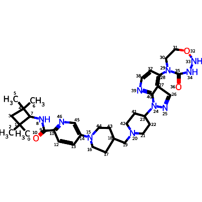 CC1(C)CC(C)(C)C1NC(=O)c1ccc(N2CCC(CN3CCC(n4ncc5c(N6CCONNC6=O)ccnc54)CC3)CC2)cn1